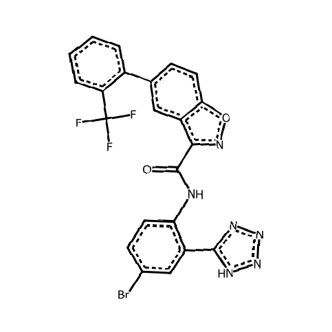 O=C(Nc1ccc(Br)cc1-c1nnn[nH]1)c1noc2ccc(-c3ccccc3C(F)(F)F)cc12